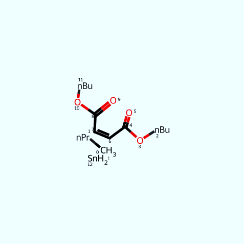 CCCC.CCCCOC(=O)/C=C\C(=O)OCCCC.[SnH2]